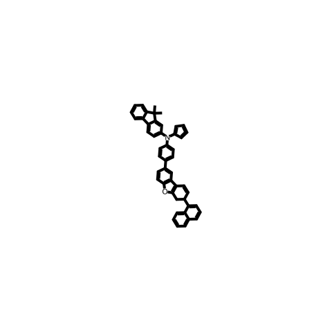 CC1(C)c2ccccc2-c2ccc(N(C3=CC=C=C3)c3ccc(-c4ccc5oc6c(c5c4)C=CC(c4cccc5ccccc45)C6)cc3)cc21